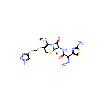 Nc1nc(/C(=N/O)C(=O)N[C@@H]2C(=O)N3C(C(=O)O)=C(SCSc4c[nH]nn4)CS[C@H]23)cs1